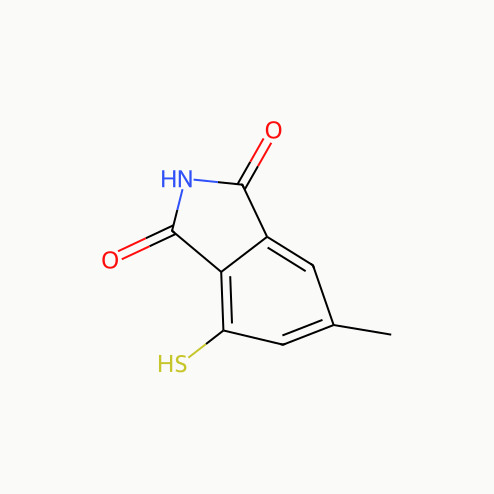 Cc1cc(S)c2c(c1)C(=O)NC2=O